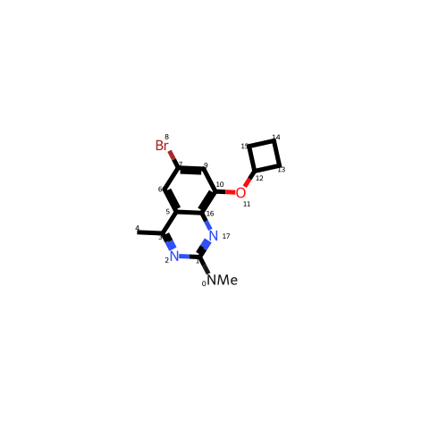 CNc1nc(C)c2cc(Br)cc(OC3CCC3)c2n1